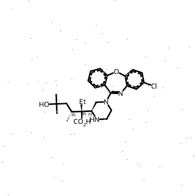 CC[C@@](C(=O)O)([C@H](C)CC(C)(C)O)[C@H]1CN(C2=Nc3cc(Cl)ccc3Oc3ccccc32)CCN1